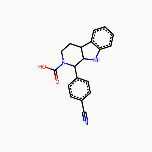 N#Cc1ccc(C2C3Nc4ccccc4C3CCN2C(=O)O)cc1